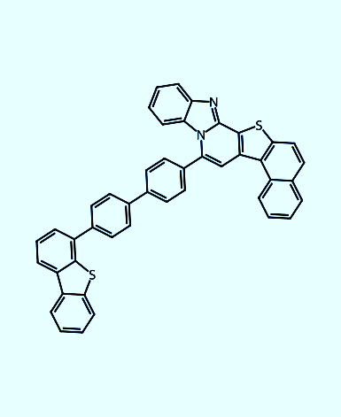 c1ccc2c(c1)ccc1sc3c(cc(-c4ccc(-c5ccc(-c6cccc7c6sc6ccccc67)cc5)cc4)n4c5ccccc5nc34)c12